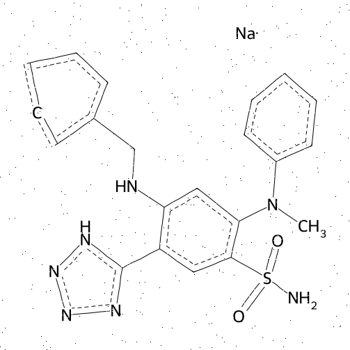 CN(c1ccccc1)c1cc(NCc2ccccc2)c(-c2nnn[nH]2)cc1S(N)(=O)=O.[Na]